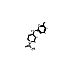 CB(O)N1CCC(Nc2cccc(C)n2)CC1